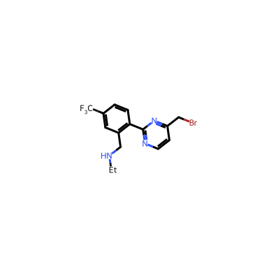 CCNCc1cc(C(F)(F)F)ccc1-c1nccc(CBr)n1